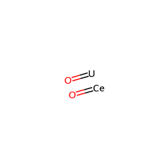 [O]=[Ce].[O]=[U]